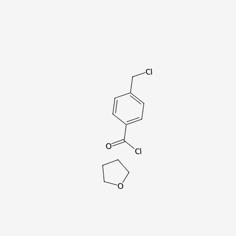 C1CCOC1.O=C(Cl)c1ccc(CCl)cc1